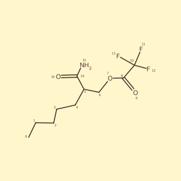 CCCCCC(COC(=O)C(F)(F)F)C(N)=O